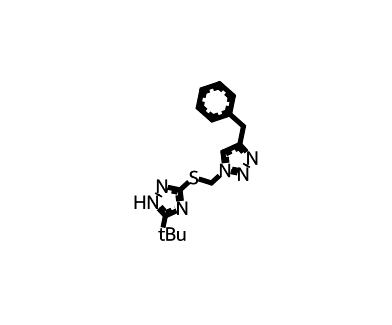 CC(C)(C)c1nc(SCn2cc(Cc3ccccc3)nn2)n[nH]1